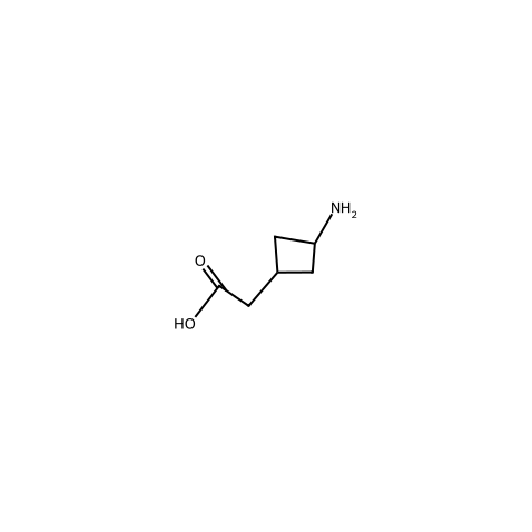 NC1CC(CC(=O)O)C1